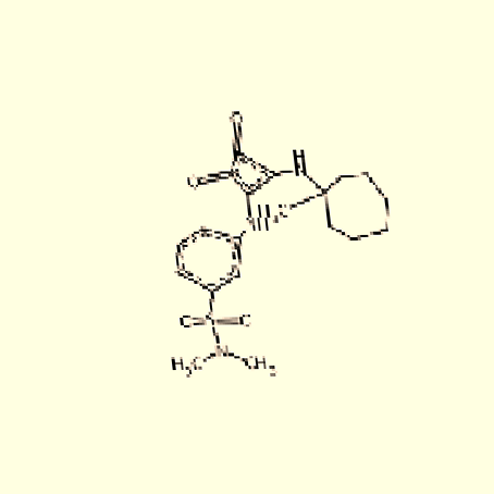 CN(C)S(=O)(=O)c1cccc(Nc2c(NC3(C)CCCCCC3)c(=O)c2=O)c1